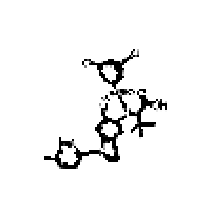 Cc1ccc(-n2ccc3cc(N(C(C(=O)O)C(C)(C)C)S(=O)(=O)c4cc(Cl)cc(Cl)c4)c(Cl)cc32)nn1